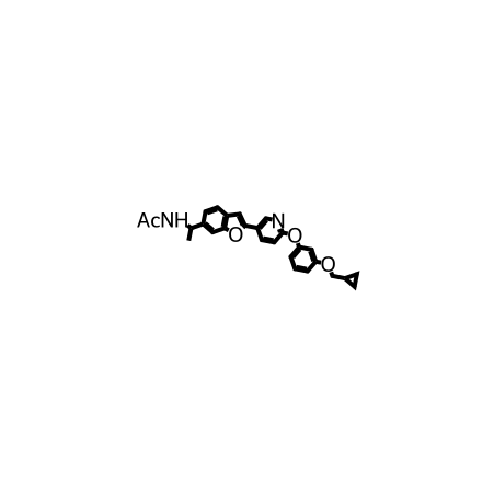 CC(=O)NC(C)c1ccc2cc(-c3ccc(Oc4cccc(OCC5CC5)c4)nc3)oc2c1